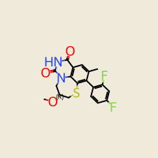 CO[C@H]1CSc2c(-c3ccc(F)cc3F)c(C)cc3c(=O)[nH]c(=O)n(c23)C1